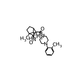 Cc1ccccc1N1CCN(C(=O)C2C(=NO)C3(C)CCC2C3(C)C)CC1